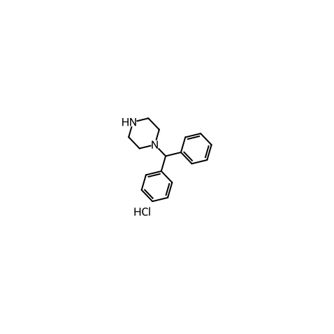 Cl.c1ccc(C(c2ccccc2)N2CCNCC2)cc1